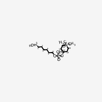 CCCCCCCCCCCCCCCCOP(=O)(O)OC1CC[N+](C)(C)CC1